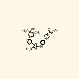 CCCOC(=O)N1CCN(c2ccc(Nc3nc(N)n(-c4cc(N5C[C@@H](C)N(C(C)=O)[C@@H](C)C5)ncn4)n3)cc2)CC1